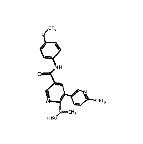 CCCCN(C)c1ncc(C(=O)Nc2ccc(OC(F)(F)F)cc2)cc1-c1ccc(C)nc1